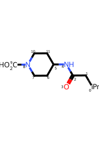 CC(C)CC(=O)NC1CCN(C(=O)O)CC1